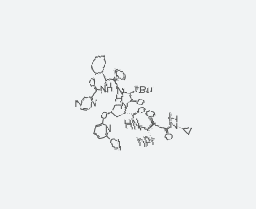 CCC[C@H](NC(=O)[C@@H]1C[C@@H](Oc2cccc(Cl)n2)CN1C(=O)[C@@H](NC(=O)[C@@H](NC(=O)c1cnccn1)C1CCCCC1)C(C)(C)C)C(=O)C(=O)NC1CC1